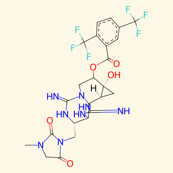 CN1CC(=O)N(C[C@@H]2NC(=N)N3CC(OC(=O)c4cc(C(F)(F)F)ccc4C(F)(F)F)[C@@]4(O)C[C@H]4C34NC(=N)NC24)C1=O